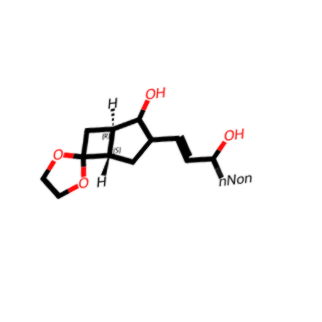 CCCCCCCCCC(O)C=CC1C[C@H]2[C@@H](CC23OCCO3)C1O